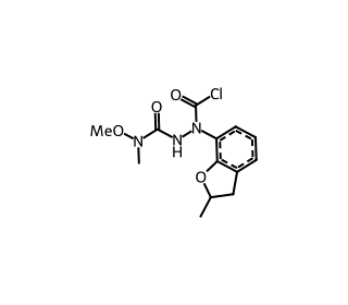 CON(C)C(=O)NN(C(=O)Cl)c1cccc2c1OC(C)C2